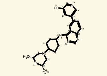 C[C@@H]1CN(C2CCC(Nc3ncnc4ccc(-c5cncc(O)c5)cc34)CC2)C[C@H](C)O1